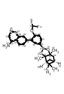 CC1(C)[C@H]2C[C@@H]1[C@]1(C)OB(c3ccc(OC(F)F)c(-c4ccc5c(N)cnnc5c4)c3)O[C@]1(C)C2